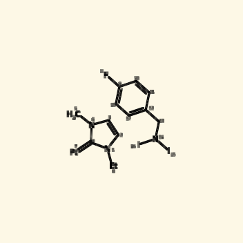 CCn1ccn(C)[c]1=[Pt].Fc1ccc(CN(I)I)cc1